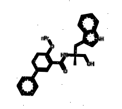 CCCOC1=C(C(=O)N[C@@](C)(CO)Cc2c[nH]c3ccccc23)C=C(c2ccccc2)CC1